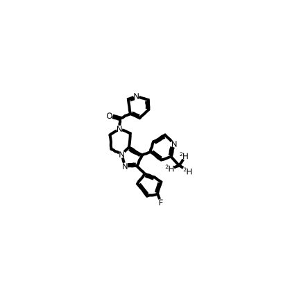 [2H]C([2H])([2H])c1cc(-c2c(-c3ccc(F)cc3)nn3c2CN(C(=O)c2cccnc2)CC3)ccn1